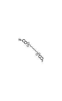 N#Cc1ccc2cc(OC(=O)CCCCCCCCCC(=O)Oc3ccc4cc(F)ccc4c3)ccc2c1